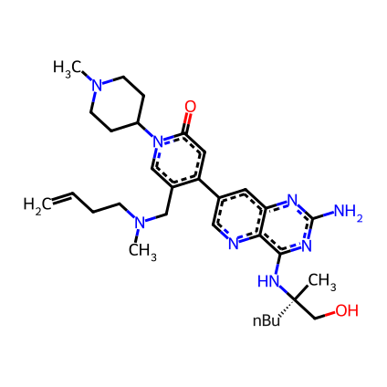 C=CCCN(C)Cc1cn(C2CCN(C)CC2)c(=O)cc1-c1cnc2c(N[C@@](C)(CO)CCCC)nc(N)nc2c1